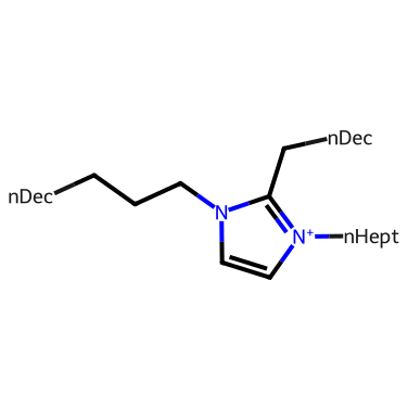 CCCCCCCCCCCCCn1cc[n+](CCCCCCC)c1CCCCCCCCCCC